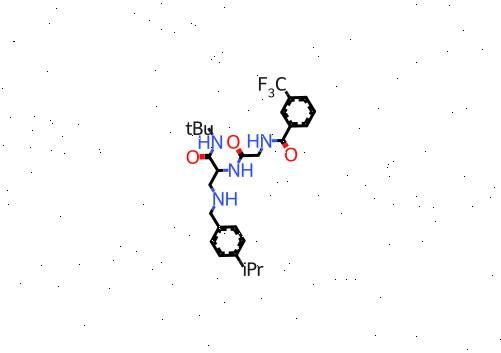 CC(C)c1ccc(CNCC(NC(=O)CNC(=O)c2cccc(C(F)(F)F)c2)C(=O)NC(C)(C)C)cc1